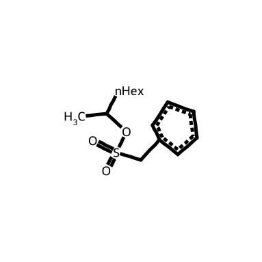 CCCCCCC(C)OS(=O)(=O)Cc1ccccc1